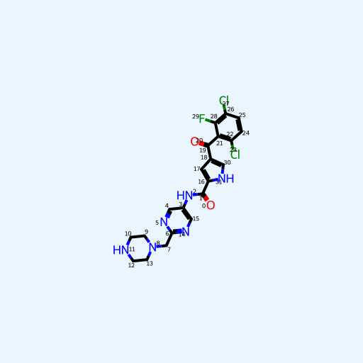 O=C(Nc1cnc(CN2CCNCC2)nc1)c1cc(C(=O)c2c(Cl)ccc(Cl)c2F)c[nH]1